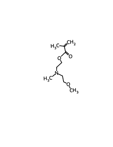 C=C(C)C(=O)OCCN(C)CCOC